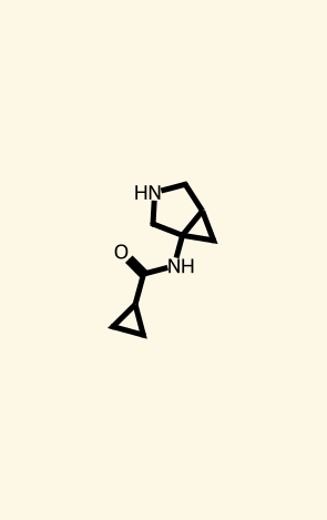 O=C(NC12CNCC1C2)C1CC1